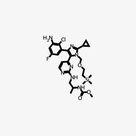 COC(=O)NC(C)CNc1nccc(-c2c(-c3cc(F)cc(N)c3Cl)nc(C3CC3)n2COCC[Si](C)(C)C)n1